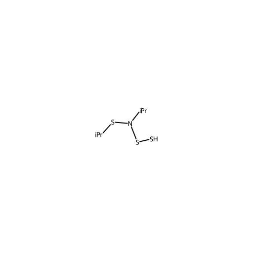 CC(C)SN(SS)C(C)C